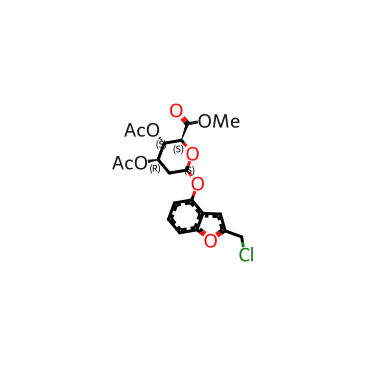 COC(=O)[C@H]1O[C@@H](Oc2cccc3oc(CCl)cc23)C[C@@H](OC(C)=O)[C@@H]1OC(C)=O